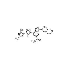 CCn1nc(C)cc1-c1nnc(-c2cc(C(N)=O)cc3c2cnn3C(C)CN2CCOCC2)[nH]1